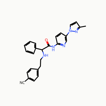 Cc1ccn(-c2ccc(NC(=O)C(NCCc3ccc(C#N)cc3)c3ccccc3)nc2)n1